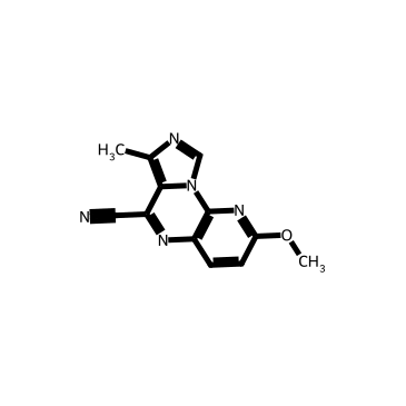 COc1ccc2nc(C#N)c3c(C)ncn3c2n1